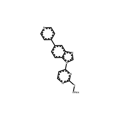 CCCCCCSc1nccc(-n2cnc3cc(-c4ccncc4)ccc32)n1